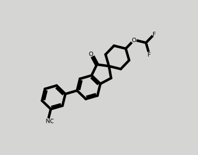 [C-]#[N+]c1cccc(-c2ccc3c(c2)C(=O)C2(CCC(OC(F)F)CC2)C3)c1